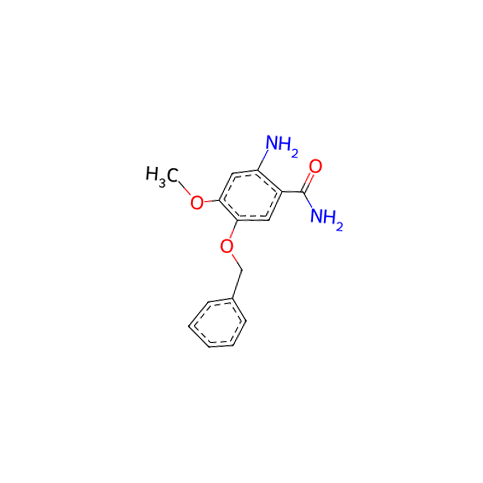 COc1cc(N)c(C(N)=O)cc1OCc1ccccc1